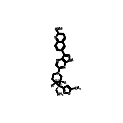 COc1ccc2cc(-c3n[nH]c4nc(N5CC[C@@H]6[C@H](C5)[C@@]6(CN)c5cc(C)on5)cnc34)ccc2n1